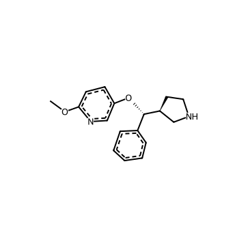 COc1ccc(O[C@@H](c2ccccc2)[C@H]2CCNC2)cn1